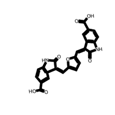 O=C1Nc2ccc(C(=O)O)cc2C1=Cc1ccc(C=C2C(=O)Nc3ccc(C(=O)O)cc32)o1